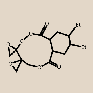 CCC1CC2C(=O)OCC3(CO3)C3(COC(=O)C2CC1CC)CO3